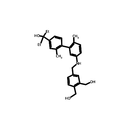 CCC(O)(CC)c1ccc(-c2cc(NCc3ccc(CO)c(CO)c3)ccc2C)c(C)c1